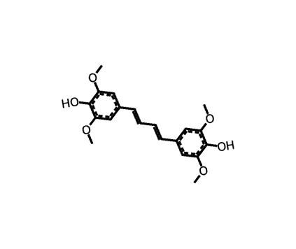 COc1cc(C=CC=Cc2cc(OC)c(O)c(OC)c2)cc(OC)c1O